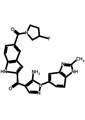 Cc1nc2cc(-n3ncc(C(=O)c4cc5cc(C(=O)N6CCC(F)C6)ccc5[nH]4)c3N)ccc2[nH]1